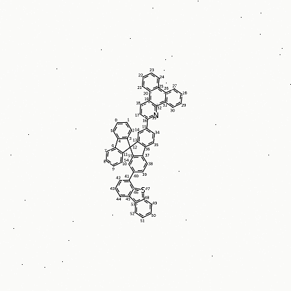 c1ccc2c(c1)-c1ccccc1C21c2cc(-c3ccc4c5ccccc5c5ccccc5c4n3)ccc2-c2ccc(-c3cccc4c3sc3ccccc34)cc21